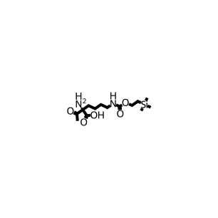 CC(=O)[C@](N)(CCCCNC(=O)OCC[Si](C)(C)C)C(=O)O